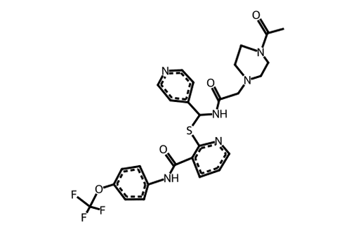 CC(=O)N1CCN(CC(=O)NC(Sc2ncccc2C(=O)Nc2ccc(OC(F)(F)F)cc2)c2ccncc2)CC1